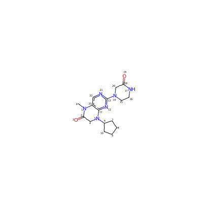 CN1C(=O)CN(C2CCCC2)c2nc(N3CCNC(=O)C3)ncc21